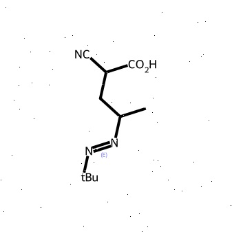 CC(CC(C#N)C(=O)O)/N=N/C(C)(C)C